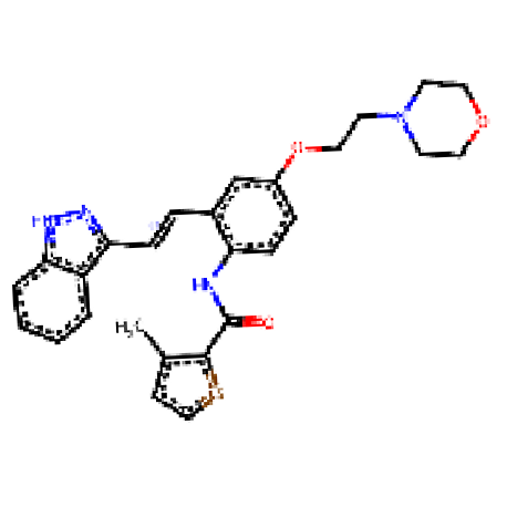 Cc1ccsc1C(=O)Nc1ccc(OCCN2CCOCC2)cc1/C=C/c1n[nH]c2ccccc12